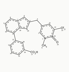 Cn1cc(Cc2cc3cccc(-c4cccc(C(=O)O)c4)c3s2)cc(C(F)(F)F)c1=O